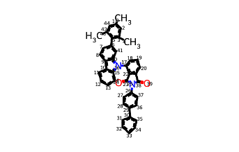 Cc1cc(C)c(-c2ccc3c4ccccc4n(-c4cccc5c4C(=O)N(c4ccc(-c6ccccc6)cc4)C5=O)c3c2)c(C)c1